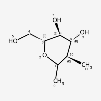 CC1O[C@H](CO)[C@@H](O)[C@H](O)[C@H]1C